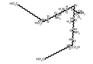 CC(=O)[C@H](CCCCNC(=O)[C@@H](N)CCCCNC(=O)[C@@H](N)CCCCNC(=O)CC[C@H](NC(=O)CCCCCCCCCCCCCCCCCCC(=O)O)C(=O)O)CC(=O)[C@H](CCCCNC(=O)[C@@H](N)CCCCNC(=O)[C@@H](N)CCCCNC(=O)CC[C@H](NC(=O)CCCCCCCCCCCCCCCCCCC(=O)O)C(=O)O)CC(=O)C(C)(C)N